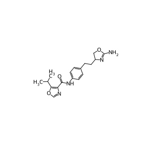 CC(C)c1ocnc1C(=O)Nc1ccc(CCC2COC(N)=N2)cc1